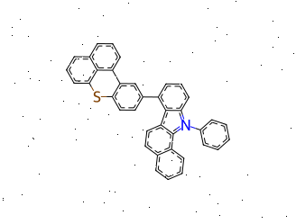 c1ccc(-n2c3cccc(-c4ccc5c(c4)-c4cccc6cccc(c46)S5)c3c3ccc4ccccc4c32)cc1